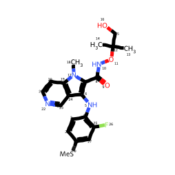 CSc1ccc(Nc2c(C(=O)NOC(C)(C)CO)n(C)c3ccncc23)c(F)c1